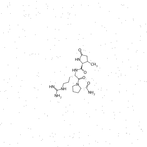 CC1CC(=O)N[C@@H]1C(=O)N[C@@H](CCCNC(=N)N)C(=O)N1CCC[C@H]1C(N)=O